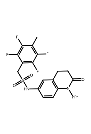 CCCN1C(=O)CCc2cc(NS(=O)(=O)Cc3c(F)c(F)c(C)c(F)c3F)ccc21